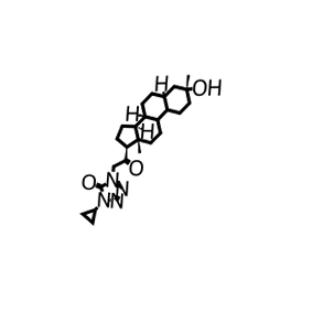 C[C@@]1(O)CCC2C3CC[C@]4(C)[C@@H](C(=O)Cn5nnn(C6CC6)c5=O)CC[C@H]4[C@@H]3CC[C@@H]2C1